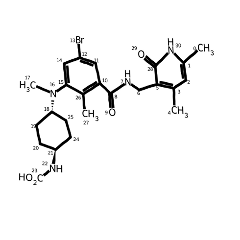 Cc1cc(C)c(CNC(=O)c2cc(Br)cc(N(C)[C@H]3CC[C@H](NC(=O)O)CC3)c2C)c(=O)[nH]1